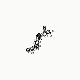 CC(C)Oc1ccc(-c2nc(-c3ccc4c(cnn4CCC(C)(C)C=O)c3)no2)cc1C#N